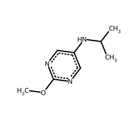 COc1ncc(NC(C)C)cn1